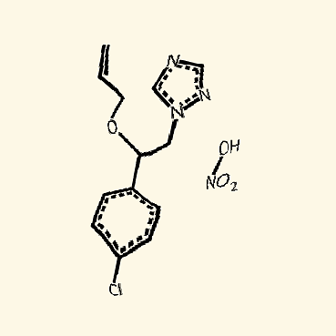 C=CCOC(Cn1cncn1)c1ccc(Cl)cc1.O=[N+]([O-])O